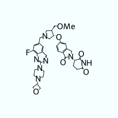 COC[C@@H]1CN(Cc2cc(F)c3nc(N4CCN(C5COC5)CC4)ncc3c2)C[C@H]1Oc1ccc2c(c1)CN([C@H]1CCC(=O)NC1=O)C2=O